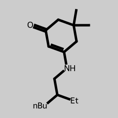 CCCCC(CC)CNC1=CC(=O)CC(C)(C)C1